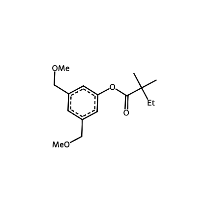 CCC(C)(C)C(=O)Oc1cc(COC)cc(COC)c1